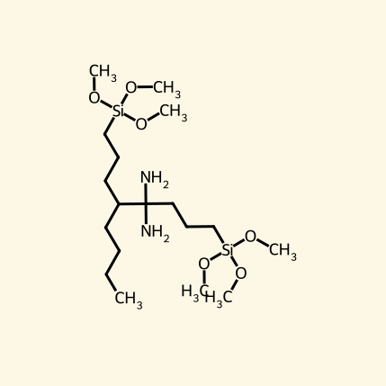 CCCCC(CCC[Si](OC)(OC)OC)C(N)(N)CCC[Si](OC)(OC)OC